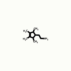 CC1=C(C)C(C)C(CCN)C1C